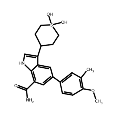 COc1ccc(-c2cc(C(N)=O)c3[nH]cc(C4CCS(O)(O)CC4)c3c2)cc1C